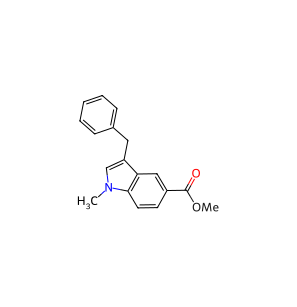 COC(=O)c1ccc2c(c1)c(Cc1ccccc1)cn2C